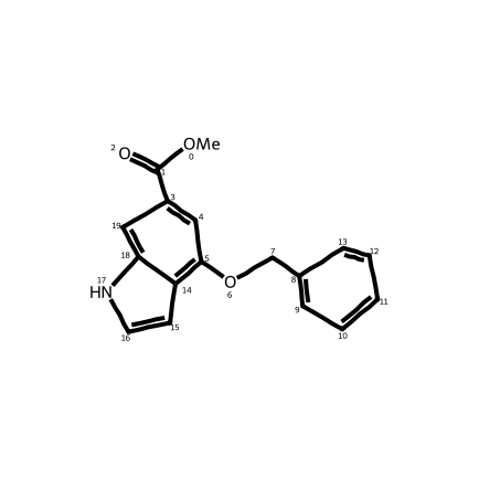 COC(=O)c1cc(OCc2ccccc2)c2cc[nH]c2c1